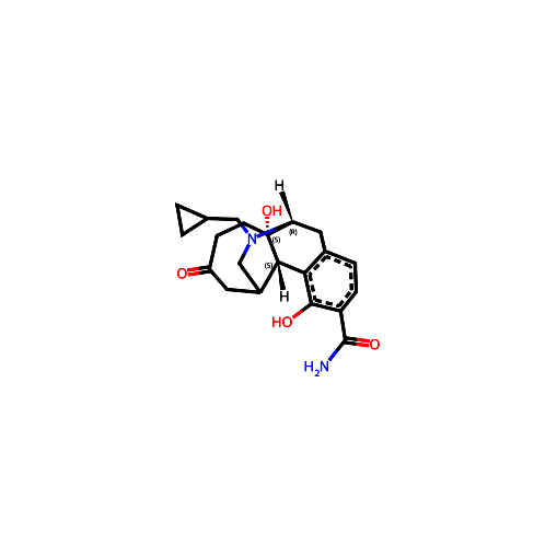 NC(=O)c1ccc2c(c1O)[C@@H]1C3CC(=O)CC[C@@]1(O)[C@@H](C2)N(CC1CC1)C3